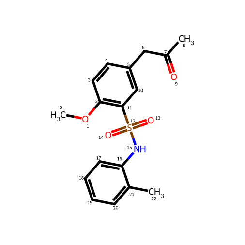 COc1ccc(CC(C)=O)cc1S(=O)(=O)Nc1ccccc1C